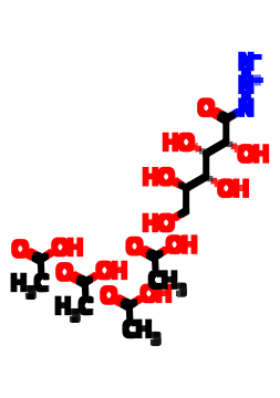 CC(=O)O.CC(=O)O.CC(=O)O.CC(=O)O.[N-]=[N+]=NC(=O)[C@H](O)[C@@H](O)[C@H](O)[C@H](O)CO